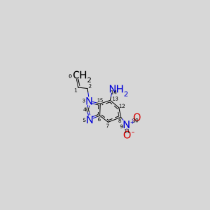 C=CCn1cnc2cc([N+](=O)[O-])cc(N)c21